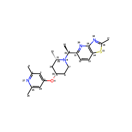 Cc1cc(O[C@H]2CCN([C@@H](C)c3ccc4sc(C)nc4n3)[C@@H](C)C2)cc(C)n1